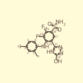 Cc1cc(I)ccc1Nc1c(-c2nnc(O)[nH]2)cc(S(N)(=O)=O)c(F)c1F